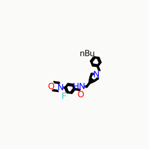 CCCCc1ccc(CN2CC3C(CNC(=O)c4ccc(N5CCOCC5)c(F)c4)C3C2)cc1